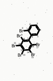 Brc1ccccc1-c1c(Br)c(Br)c(Br)c(Br)c1Br